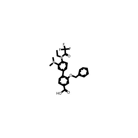 CCN(C(=O)C(F)(F)F)c1ccc(-c2ccc(C(=O)O)cc2OCc2ccccc2)cc1N(C)C